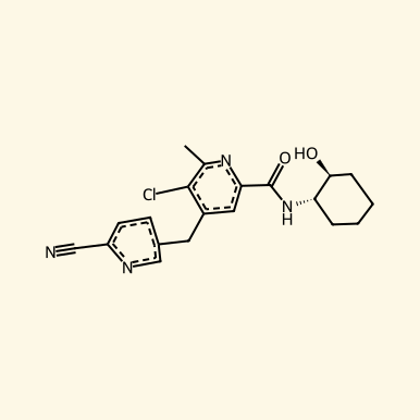 Cc1nc(C(=O)N[C@H]2CCCC[C@@H]2O)cc(Cc2ccc(C#N)nc2)c1Cl